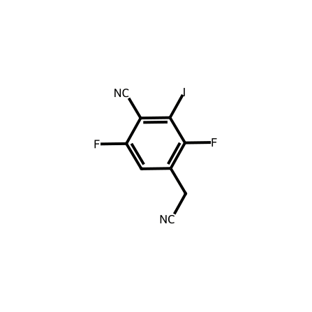 N#CCc1cc(F)c(C#N)c(I)c1F